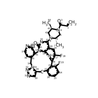 C=CC(=O)N1C[C@H](C)N(c2nc(=O)n3c4nc(c(F)cc24)-c2c(F)cccc2Cc2cnnn2Cc2ccnc(C(C)C)c2-3)C[C@H]1C